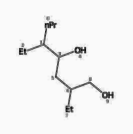 CCCC(CC)C(O)CC(CC)CO